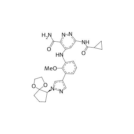 COc1c(Nc2cc(NC(=O)C3CC3)nnc2C(N)=O)cccc1-c1cnn([C@H]2CCCC23OCCO3)c1